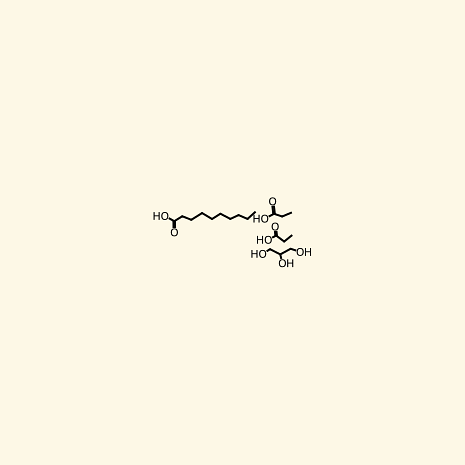 CCC(=O)O.CCC(=O)O.CCCCCCCCCC(=O)O.OCC(O)CO